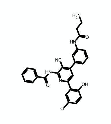 N#Cc1c(-c2cccc(NC(=O)CCN)c2)cc(-c2cc(Cl)ccc2O)nc1NC(=O)c1ccccc1